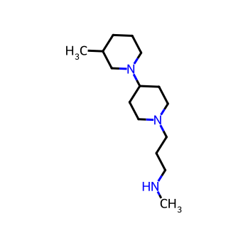 CNCCCN1CCC(N2CCCC(C)C2)CC1